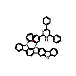 C1=C(c2ccccc2)NC(c2cccc(-n3c4cc5c(cc4c4ccc6c7ccccc7n(-c7ccccc7)c6c43)oc3ccccc35)c2)N=C1c1ccccc1